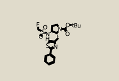 CC(C)(C)OC(=O)N1CC[C@@H](NS(=O)(=O)CF)[C@H]1Cc1csc(-c2ccccc2)n1